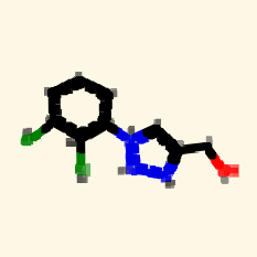 OCc1cn(-c2cccc(Cl)c2Cl)nn1